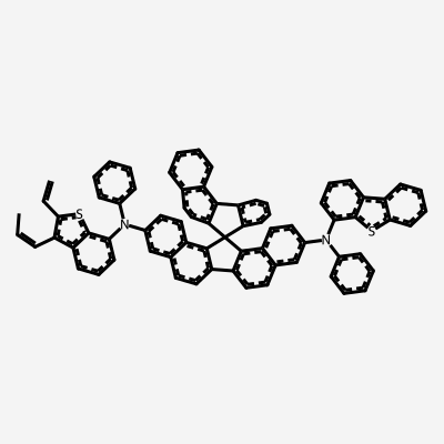 C=Cc1sc2c(N(c3ccccc3)c3ccc4c5c(ccc4c3)-c3ccc4cc(N(c6ccccc6)c6cccc7c6sc6ccccc67)ccc4c3C53c4ccccc4-c4c3ccc3ccccc43)cccc2c1/C=C\C